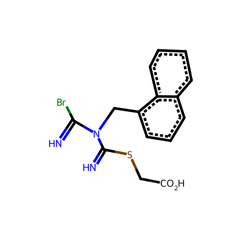 N=C(Br)N(Cc1cccc2ccccc12)C(=N)SCC(=O)O